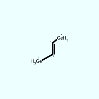 [GeH3][CH]=[CH][GeH3]